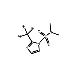 [2H]C([2H])([2H])c1nccn1S(=O)(=O)N(C)C